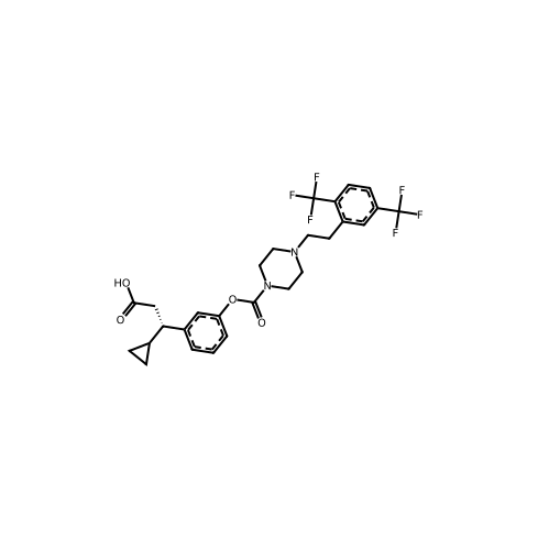 O=C(O)C[C@H](c1cccc(OC(=O)N2CCN(CCc3cc(C(F)(F)F)ccc3C(F)(F)F)CC2)c1)C1CC1